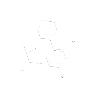 COc1cc([N+](=O)[O-])ccc1C1=CCNCC1.O=C(O)C(F)(F)F